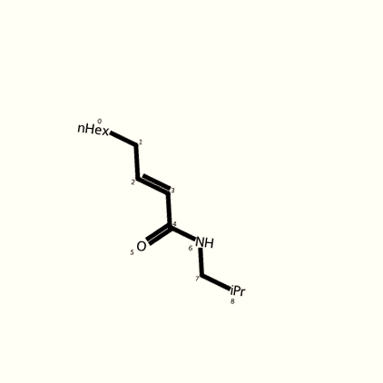 CCCCCCCC=CC(=O)NCC(C)C